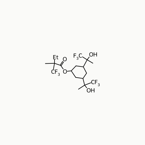 CCC(C)(C(=O)OC1CC(C(C)(O)C(F)(F)F)CC(C(C)(O)C(F)(F)F)C1)C(F)(F)F